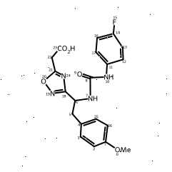 COc1ccc(CC(NC(=O)Nc2ccc(F)cc2)c2noc(CC(=O)O)n2)cc1